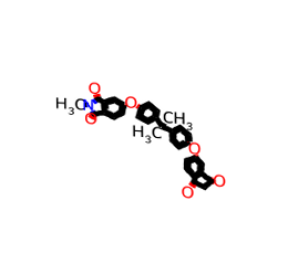 CN1C(=O)c2ccc(Oc3ccc(C(C)(C)c4ccc(Oc5ccc6c(c5)C(=O)CC6=O)cc4)cc3)cc2C1=O